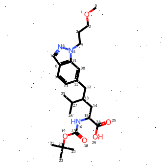 COCCCn1ncc2ccc(CC(CC(NC(=O)OC(C)(C)C)C(=O)O)C(C)C)cc21